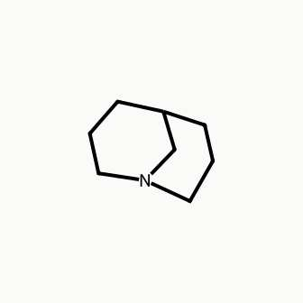 C1CC2CCCN(C1)C2